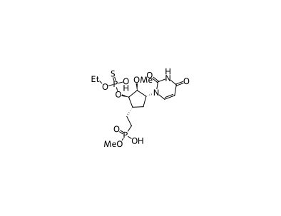 CCOP(O)(=S)O[C@@H]1[C@@H](CCP(=O)(O)OC)C[C@@H](n2ccc(=O)[nH]c2=O)[C@@H]1OC